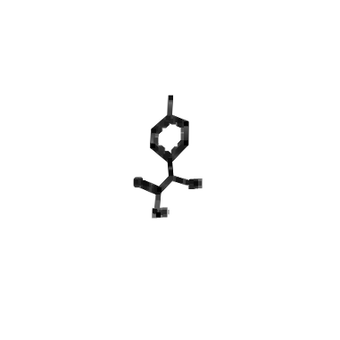 Cc1ccc(C(S)C([NH])=O)cc1